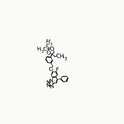 CCC1(c2cccc(COc3cc4c(cc3F)c(-c3ccccc3)cc3nnnn34)c2)COC(C)(C)O1